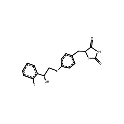 O=C1NC(=O)C(Cc2ccc(OC[C@@H](O)c3ccccc3F)cc2)S1